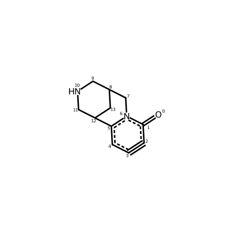 O=c1c#ccc2n1CC1CNCC2C1